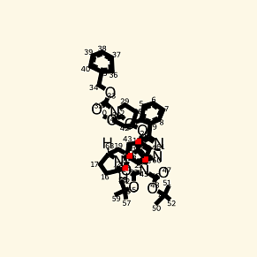 COCOc1ccccc1-c1cc(N2C[C@H]3CC[C@@H](C2)N3c2cccc(OC3CCN(C(=O)OCc4ccccc4)CC3)c2)c(N(C(=O)OC(C)(C)C)C(=O)OC(C)(C)C)nn1